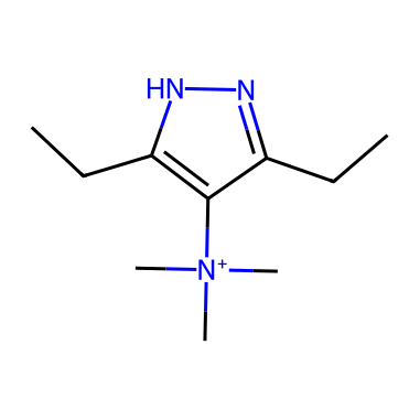 CCc1n[nH]c(CC)c1[N+](C)(C)C